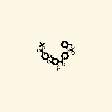 COc1cc(OC2CCN(C(=O)OC(C)(C)C)CC2)c(Br)cc1C(=O)N1CCC(N2C(=O)OCc3ccccc32)CC1